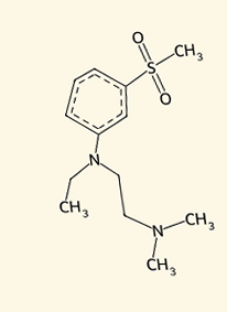 CCN(CCN(C)C)c1cccc(S(C)(=O)=O)c1